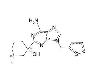 C[C@@H]1CCC[C@@](O)(c2nc(N)c3ncn(Cc4cccs4)c3n2)C1